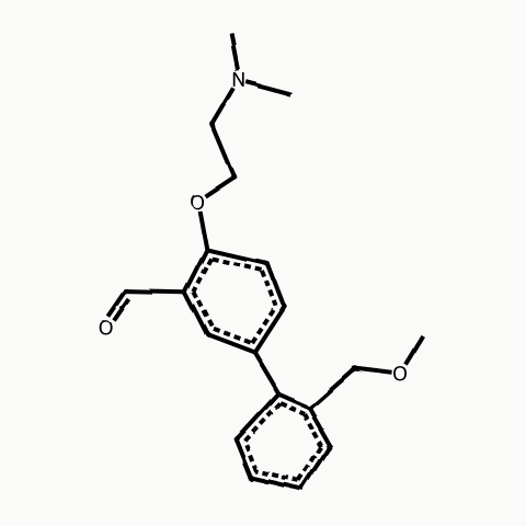 COCc1ccccc1-c1ccc(OCCN(C)C)c(C=O)c1